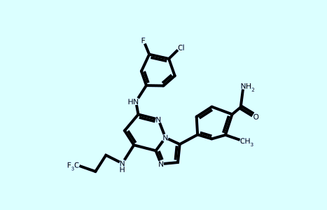 Cc1cc(-c2cnc3c(NCCC(F)(F)F)cc(Nc4ccc(Cl)c(F)c4)nn23)ccc1C(N)=O